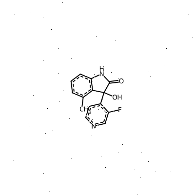 Cc1cccc2c1C(O)(c1ccncc1F)C(=O)N2